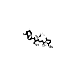 CCCCC1CCC(C)N1C(O)/C=C/c1c(C=N)c(-c2cnc3c(F)cc(F)cn23)nn1CC(F)(F)F